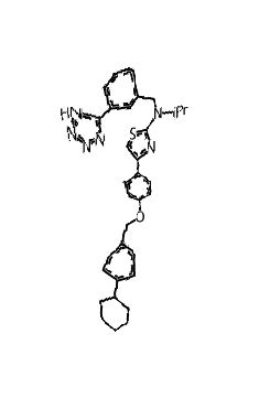 CC(C)N(Cc1cccc(-c2nnn[nH]2)c1)c1nc(-c2ccc(OCc3ccc(C4CCCCC4)cc3)cc2)cs1